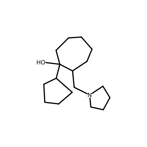 OC1(C2CCCC2)CCCCCC1CN1CCCC1